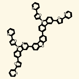 c1ccc(-c2ccc(-c3ccc4c(c3)c3cc(-c5ccc6oc7ccc(-c8cnc9c(c8)c8cc(-c%10ccc(-c%11ccccn%11)o%10)ccc8n9-c8ccc(-c9ccccn9)o8)cc7c6c5)ccc3n4-c3ccc(-c4ccccn4)o3)o2)nc1